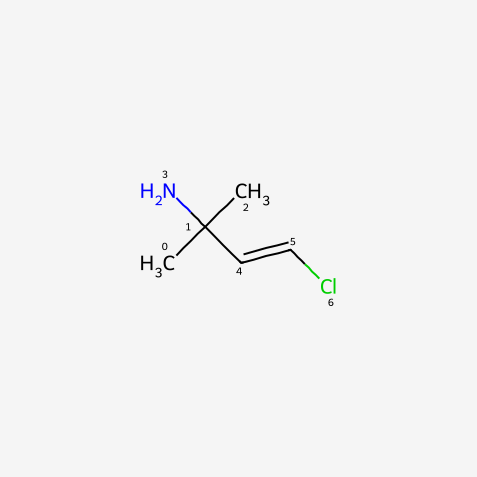 CC(C)(N)C=CCl